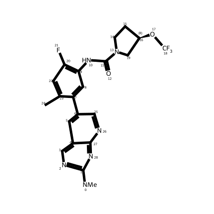 CNc1ncc2cc(-c3cc(NC(=O)N4CC[C@@H](OC(F)(F)F)C4)c(F)cc3C)cnc2n1